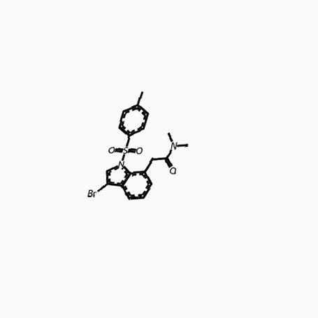 Cc1ccc(S(=O)(=O)n2cc(Br)c3cccc(CC(=O)N(C)C)c32)cc1